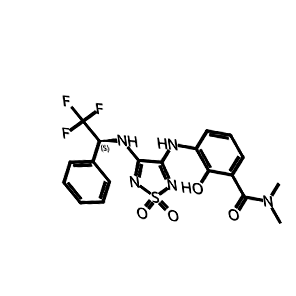 CN(C)C(=O)c1cccc(NC2=NS(=O)(=O)N=C2N[C@@H](c2ccccc2)C(F)(F)F)c1O